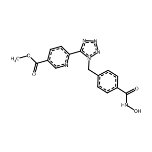 COC(=O)c1ccc(-c2nnnn2Cc2ccc(C(=O)NO)cc2)nc1